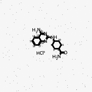 Cl.NC(=O)C1CCC(Nc2nc(N)c3ccccc3n2)CC1